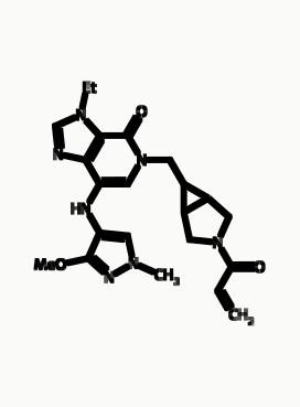 C=CC(=O)N1CC2C(C1)C2Cn1cc(Nc2cn(C)nc2OC)c2ncn(CC)c2c1=O